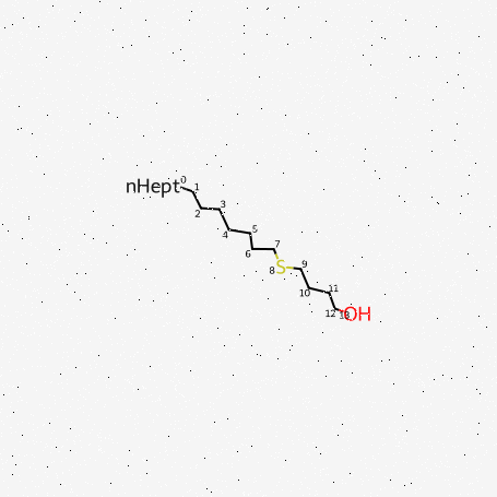 CCCCCCCCCCCCCCSCCCCO